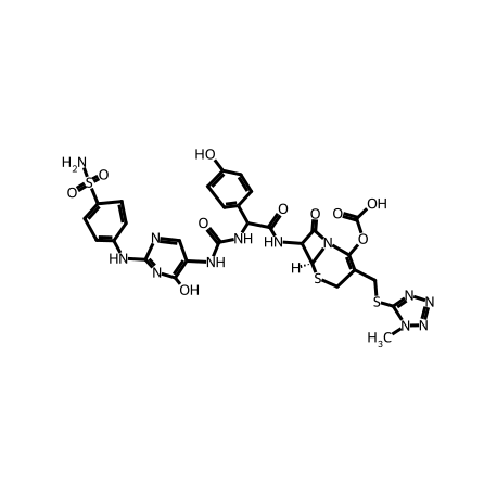 Cn1nnnc1SCC1=C(OC(=O)O)N2C(=O)C(NC(=O)C(NC(=O)Nc3cnc(Nc4ccc(S(N)(=O)=O)cc4)nc3O)c3ccc(O)cc3)[C@@H]2SC1